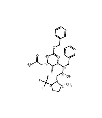 C[C@@H]1CC[C@@H](C(F)(F)F)N1C[C@@H](O)[C@H](Cc1ccccc1)NC(=O)[C@H](CC(N)=O)NC(=O)OCc1ccccc1